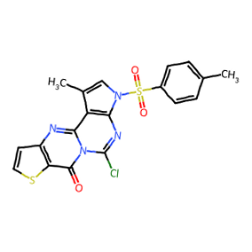 Cc1ccc(S(=O)(=O)n2cc(C)c3c2nc(Cl)n2c(=O)c4sccc4nc32)cc1